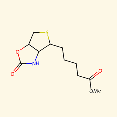 COC(=O)CCCCC1SCC2OC(=O)NC21